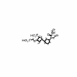 Cc1c(-c2cccc(N(CC(C)C)C(=O)NC(C)C)c2)sc(C(=O)O)c1OCC(=O)O